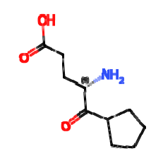 N[C@@H](CCC(=O)O)C(=O)C1CCCC1